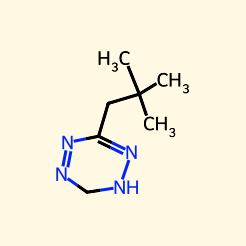 CC(C)(C)CC1=NNCN=N1